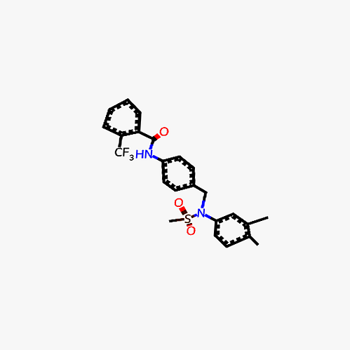 Cc1ccc(N(Cc2ccc(NC(=O)c3ccccc3C(F)(F)F)cc2)S(C)(=O)=O)cc1C